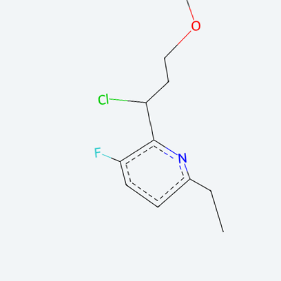 CCc1ccc(F)c(C(Cl)CCOC)n1